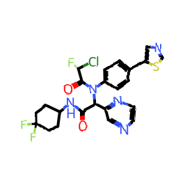 O=C(NC1CCC(F)(F)CC1)C(c1cnccn1)N(C(=O)[C@H](F)Cl)c1ccc(-c2cncs2)cc1